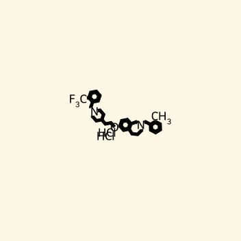 Cc1ccccc1CN1CCCc2cc(OCCC3CCN(Cc4ccccc4C(F)(F)F)CC3)ccc2C1.Cl.Cl